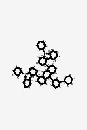 c1ccc(-n2c3ccccc3c3c(-c4cccc5c(-c6cccc(C7CCCCC7)c6)c6cccc(-c7cccc8c7c7ccccc7n8-c7ccccc7)c6cc45)cccc32)cc1